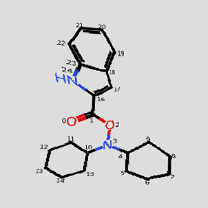 O=C(ON(C1CCCCC1)C1CCCCC1)c1cc2ccccc2[nH]1